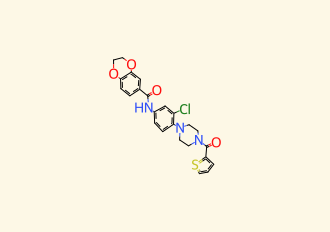 O=C(Nc1ccc(N2CCN(C(=O)c3cccs3)CC2)c(Cl)c1)c1ccc2c(c1)OCCO2